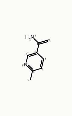 C=C(N)c1ccc(C)nc1